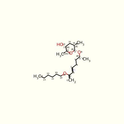 C=C(/C=C/CC[C@@H](C)O[C@@H]1O[C@@H](C)[C@H](O)C[C@H]1C)OCCCCCC